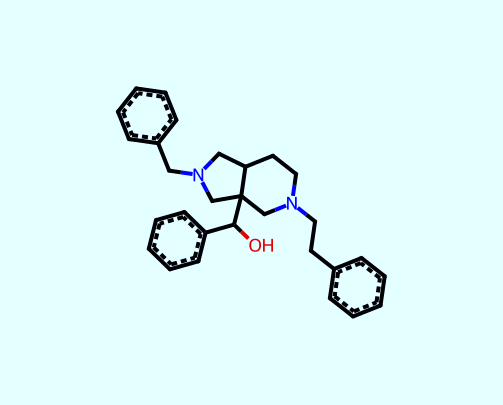 OC(c1ccccc1)C12CN(CCc3ccccc3)CCC1CN(Cc1ccccc1)C2